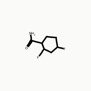 NC(=O)C1CCC(F)CC1F